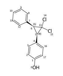 Oc1ccc([C@H]2[C@@H](c3ccccc3)C2(Cl)Cl)cc1